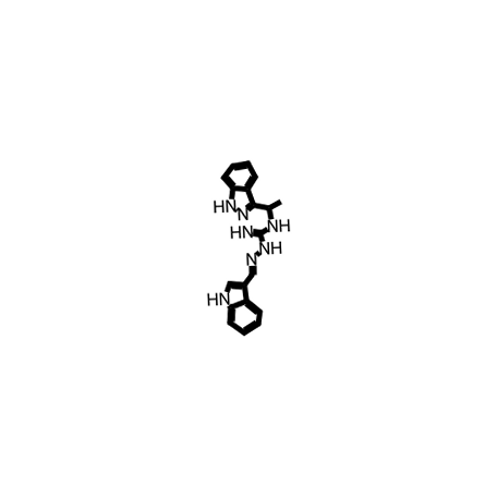 CC(NC(=N)NN=Cc1c[nH]c2ccccc12)c1n[nH]c2ccccc12